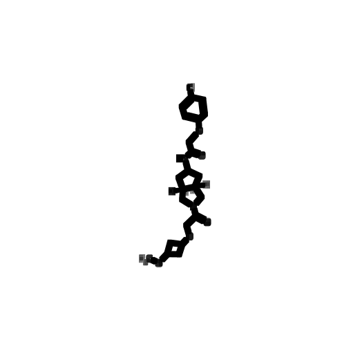 O=C(COc1ccc(Cl)cc1)NC1C[C@@H]2CN(C(=O)COC3CC(OC(F)(F)F)C3)C[C@@H]2C1